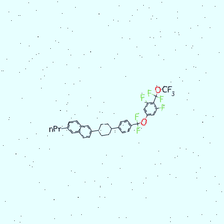 CCCc1ccc2cc(C3CCC(c4ccc(C(F)(F)Oc5cc(F)c(C(F)(F)OC(F)(F)F)c(F)c5)cc4)CC3)ccc2c1